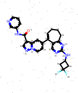 O=C(Nc1cccnc1)c1cnn2ccc(C3=CCCCc4nc(NC5CC(F)(F)C5)ncc43)cc12